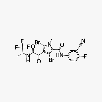 C[C@@H](NC(=O)C(=O)c1c(Br)c(C(=O)Nc2ccc(F)c(C#N)c2)n(C)c1Br)C(F)(F)F